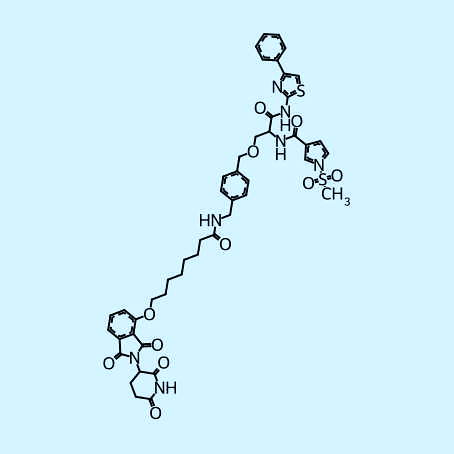 CS(=O)(=O)n1ccc(C(=O)NC(COCc2ccc(CNC(=O)CCCCCCCOc3cccc4c3C(=O)N(C3CCC(=O)NC3=O)C4=O)cc2)C(=O)Nc2nc(-c3ccccc3)cs2)c1